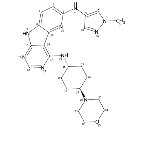 Cn1cc(Nc2ccc3[nH]c4ncnc(N[C@H]5CC[C@H](N6CCOCC6)CC5)c4c3n2)cn1